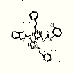 Clc1cccc2sc(Sc3nnn(CCc4ccccc4)n3)nc12.c1ccc(CCn2nnc(Sc3nc4ccccc4s3)n2)cc1